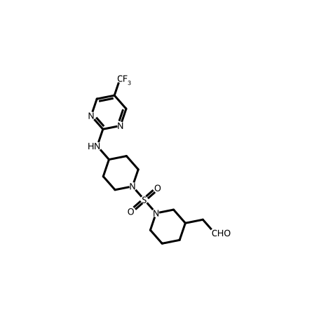 O=CCC1CCCN(S(=O)(=O)N2CCC(Nc3ncc(C(F)(F)F)cn3)CC2)C1